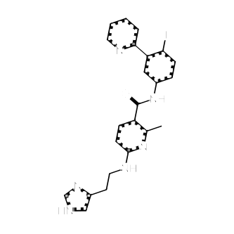 Cc1nc(NCCc2c[nH]cn2)ccc1C(=O)Nc1ccc(I)c(-c2ccccn2)c1